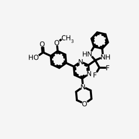 COc1cc(-c2cc(N3CCOCC3)nc(C3(C(F)F)Nc4ccccc4N3)n2)ccc1C(=O)O